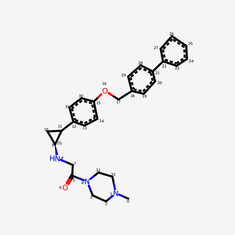 CN1CCN(C(=O)CN[C@H]2CC2c2ccc(OCc3ccc(-c4ccccc4)cc3)cc2)CC1